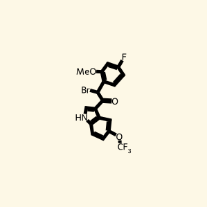 COc1cc(F)ccc1C(Br)C(=O)c1c[nH]c2ccc(OC(F)(F)F)cc12